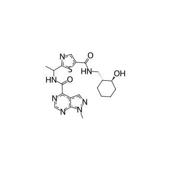 CC(NC(=O)c1ncnc2c1cnn2C)c1ncc(C(=O)NC[C@H]2CCCC[C@@H]2O)s1